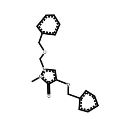 Cn1c(=O)c(OCc2ccccc2)cn1COCc1ccccc1